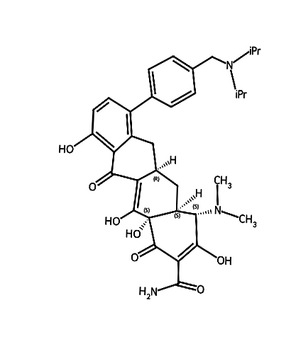 CC(C)N(Cc1ccc(-c2ccc(O)c3c2C[C@H]2C[C@H]4[C@H](N(C)C)C(O)=C(C(N)=O)C(=O)[C@@]4(O)C(O)=C2C3=O)cc1)C(C)C